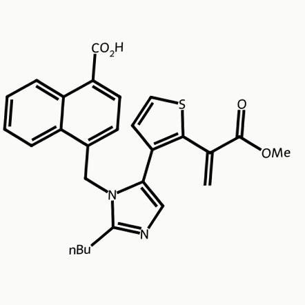 C=C(C(=O)OC)c1sccc1-c1cnc(CCCC)n1Cc1ccc(C(=O)O)c2ccccc12